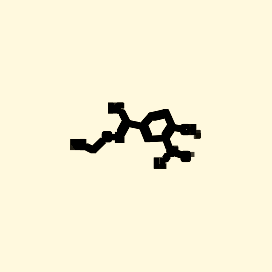 CC[S+]([O-])c1cc(/C(C#N)=N/OCC#N)ccc1C